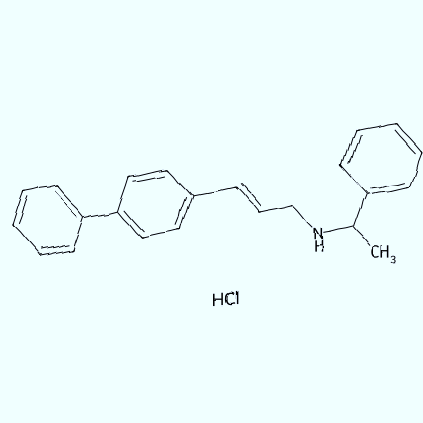 CC(NCC=Cc1ccc(-c2ccccc2)cc1)c1ccccc1.Cl